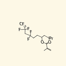 C=C(C)C(=O)OC(CCC(F)(F)CC(F)(F)C(F)(F)F)CC(C)C